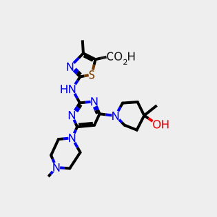 Cc1nc(Nc2nc(N3CCN(C)CC3)cc(N3CCC(C)(O)CC3)n2)sc1C(=O)O